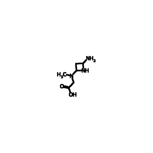 CN(CC(=O)O)C1CC(N)N1